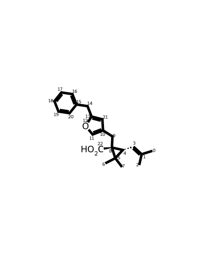 CC(C)=C[C@@H]1C(C)(C)[C@@]1(Cc1coc(Cc2ccccc2)c1)C(=O)O